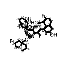 C#Cc1c(F)ccc2cc(O)cc(-c3ncc4c(N5C[C@H]6CC[C@@H](C5)N6C(=O)OCCCC)nc(OC[C@@]56CCCN5C[C@H](F)C6)nc4c3F)c12